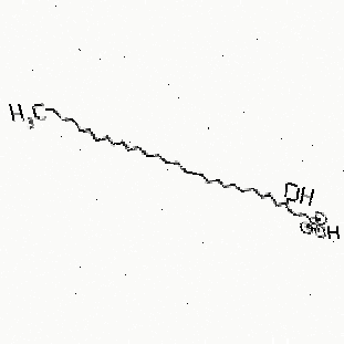 CCCCCCCCCCCCCCCCCCCCCCCCCCCC(O)CCS(=O)(=O)O